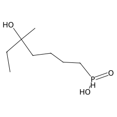 CCC(C)(O)CCCC[PH](=O)O